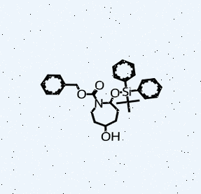 CC(C)(C)[Si](OC1CCC(O)CCN1C(=O)OCc1ccccc1)(c1ccccc1)c1ccccc1